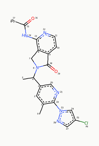 Cc1cc(C(C)N2Cc3c(ccnc3NC(=O)C(C)C)C2=O)cnc1-n1cc(Cl)cn1